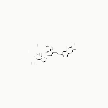 Cc1nc(N)c2ccn([C@@H]3C=C(CCc4cc(F)c5cc(Cl)c(N)nc5c4)[C@H]4OC(C)(C)O[C@H]43)c2n1